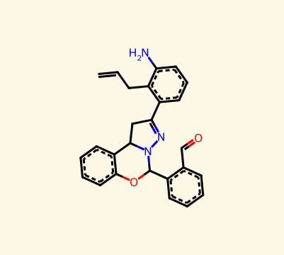 C=CCc1c(N)cccc1C1=NN2C(C1)c1ccccc1OC2c1ccccc1C=O